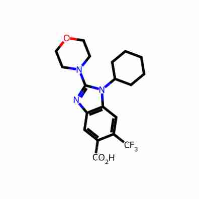 O=C(O)c1cc2nc(N3CCOCC3)n(C3CCCCC3)c2cc1C(F)(F)F